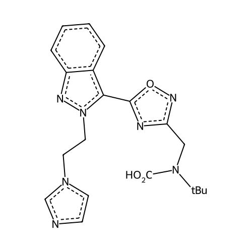 CC(C)(C)N(Cc1noc(-c2c3ccccc3nn2CCn2ccnc2)n1)C(=O)O